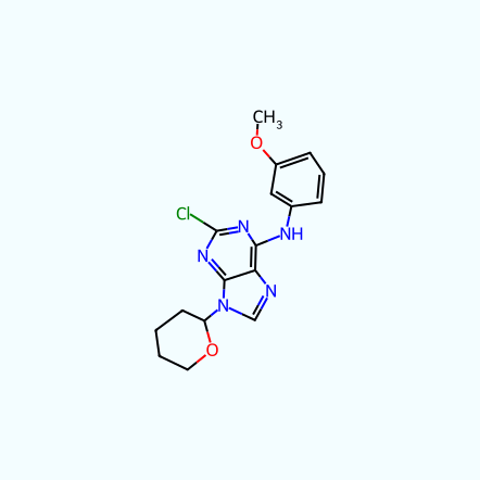 COc1cccc(Nc2nc(Cl)nc3c2ncn3C2CCCCO2)c1